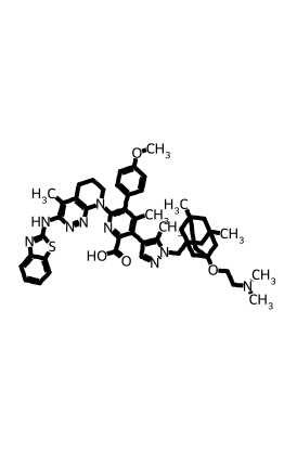 COc1ccc(-c2c(N3CCCc4c3nnc(Nc3nc5ccccc5s3)c4C)nc(C(=O)O)c(-c3cnn(CC45CC6(C)CC(C)(C4)CC(OCCN(C)C)(C6)C5)c3C)c2C)cc1